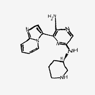 Nc1ncc(N[C@@H]2CCCNC2)nc1-c1cnc2ccccn12